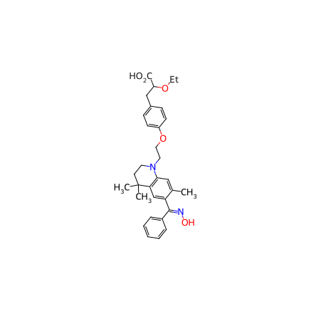 CCOC(Cc1ccc(OCCN2CCC(C)(C)c3cc(C(=NO)c4ccccc4)c(C)cc32)cc1)C(=O)O